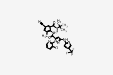 Cc1cc(C#N)cc(C(=O)NC(C)(C)C)c1NC(=O)c1cc(Nc2ccc(C(F)(F)F)cn2)nn1-c1ncccc1Cl